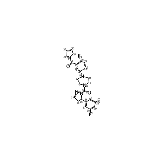 O=C(c1nc(N2CCN(C(=O)N3N=CCC3c3cc(F)cc(F)c3)CC2)ncc1F)N1CC=CC1